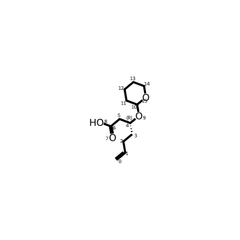 C=CCC[C@H](CC(=O)O)OC1CCCCO1